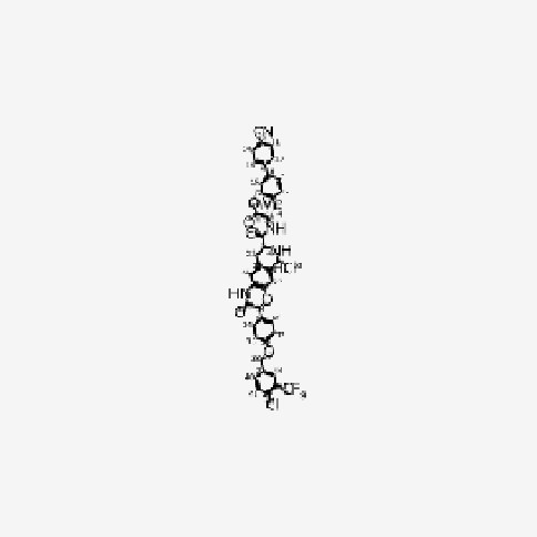 COC(=O)[C@H](Cc1ccc(-c2ccc(C#N)cc2)cc1)NC(=O)C1Cc2cc3c(cc2CN1)O[C@@H](c1ccc(OCc2ccc(Cl)c(C(F)(F)F)c2)cc1)C(=O)N3.Cl